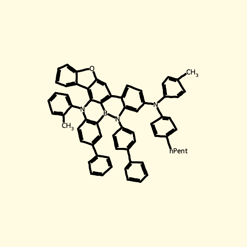 CCCCCc1ccc(N(c2ccc(C)cc2)c2ccc3c(c2)N(c2ccc(-c4ccccc4)cc2)B2c4cc(-c5ccccc5)ccc4N(c4ccccc4C)c4c2c-3cc2oc3ccccc3c42)cc1